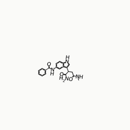 CNC(=O)CC(C(N)=O)c1c[nH]c2ccc(NC(=O)c3ccccc3)cc12